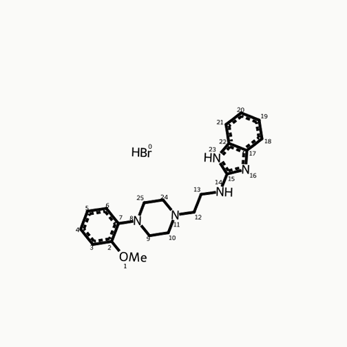 Br.COc1ccccc1N1CCN(CCNc2nc3ccccc3[nH]2)CC1